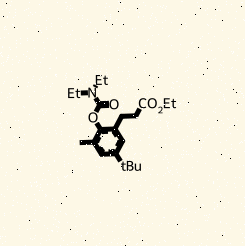 CCOC(=O)CCc1cc(C(C)(C)C)cc(C)c1OC(=O)N(CC)CC